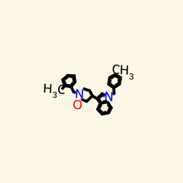 Cc1ccc(Cn2cc(C3CCN(Cc4ccccc4C)C(=O)C3)c3ccccc32)cc1